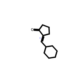 O=C1CCC/C1=C\C1CCCCC1